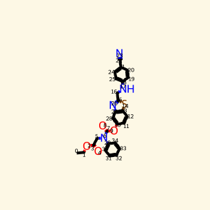 CCOC(=O)CN(C(=O)Oc1ccc2sc(CNc3ccc(C#N)cc3)nc2c1)c1ccccc1